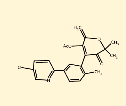 C=C1OC(C)(C)C(=O)C(c2cc(-c3ccc(Cl)cn3)ccc2C)=C1OC(C)=O